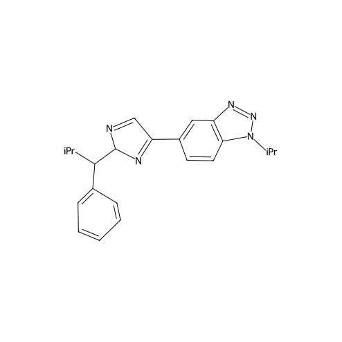 CC(C)C(c1ccccc1)C1N=CC(c2ccc3c(c2)nnn3C(C)C)=N1